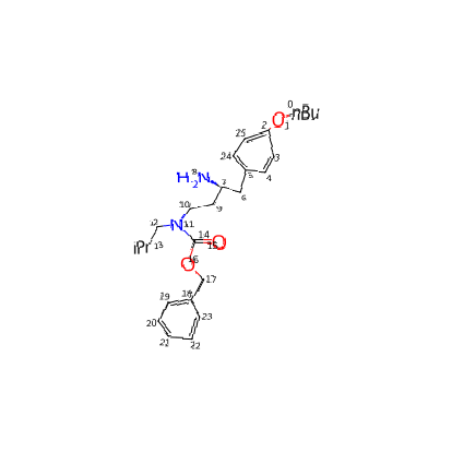 CCCCOc1ccc(C[C@H](N)CCN(CC(C)C)C(=O)OCc2ccccc2)cc1